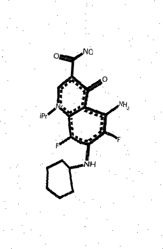 CC(C)n1cc(C(=O)N=O)c(=O)c2c(N)c(F)c(NC3CCCCC3)c(F)c21